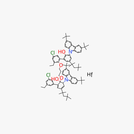 CCc1cc(Cl)cc(C2=CC(C(C)(C)CC(C)(C)C)=CC(n3c4ccc(C(C)(C)C)cc4c4cc(C(C)(C)C)ccc43)C2(O)OCCCOc2c(CC)cc(Cl)cc2-c2cc(C(C)(C)CC(C)(C)C)cc(-n3c4ccc(C(C)(C)C)cc4c4cc(C(C)(C)C)ccc43)c2O)c1.[Hf]